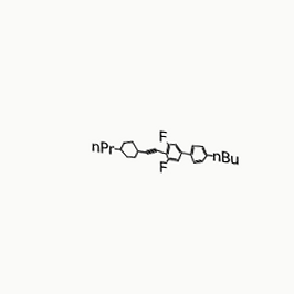 CCCCc1ccc(-c2cc(F)c(C#CC3CCC(CCC)CC3)c(F)c2)cc1